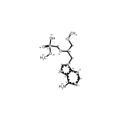 COC[C@@H](Cn1cnc2c(N)ncnc21)OCP(=O)(O)OC